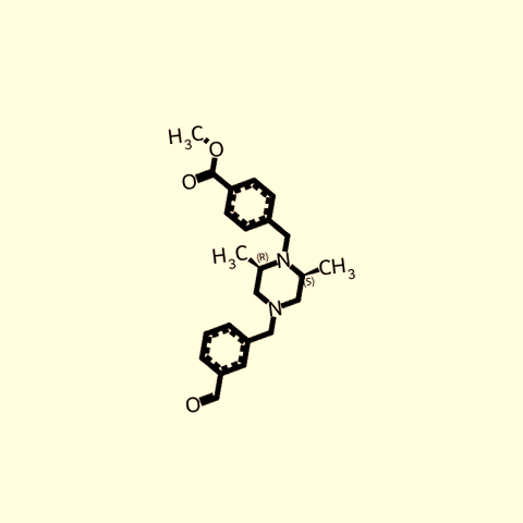 COC(=O)c1ccc(CN2[C@H](C)CN(Cc3cccc(C=O)c3)C[C@@H]2C)cc1